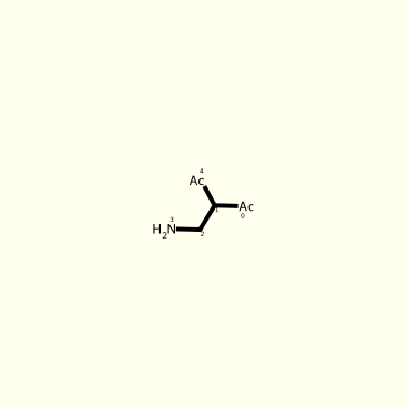 CC(=O)C(CN)C(C)=O